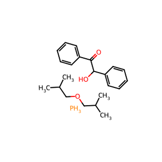 CC(C)COCC(C)C.O=C(c1ccccc1)C(O)c1ccccc1.P